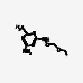 CCOCONc1nc(N)nc(N)n1